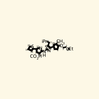 CCOCCOc1ccc(-c2nc(Nc3ncc(-c4cccs4)cc3C(=O)O)sc2CC(C)C)cc1C